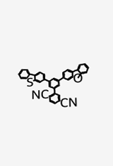 N#Cc1ccc(C#N)c(-c2cc(-c3ccc4c(c3)oc3ccccc34)cc(-c3ccc4c(c3)sc3ccccc34)c2)c1